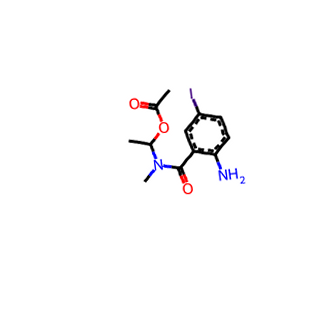 CC(=O)OC(C)N(C)C(=O)c1cc(I)ccc1N